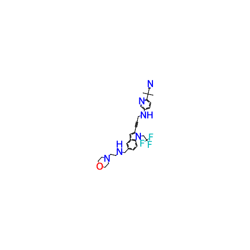 CC(C)(C#N)c1ccc(NCC#Cc2cc3cc(CNCCN4CCOCC4)ccc3n2CC(F)(F)F)cn1